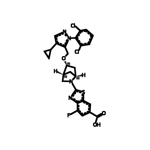 O=C(O)c1cc(F)c2nc(N3C[C@@H]4C[C@H]3C[C@H]4OCc3c(C4CC4)cnn3-c3c(Cl)cccc3Cl)sc2c1